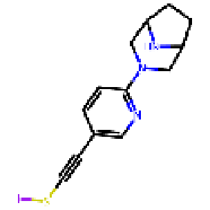 ISC#Cc1ccc(N2CC3CCC(C2)N3)nc1